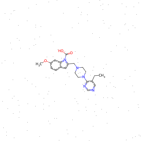 CCc1cncnc1N1CCN(Cc2cc3ccc(OC)cc3n2C(=O)O)CC1